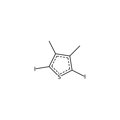 Cc1c(I)sc(I)c1C